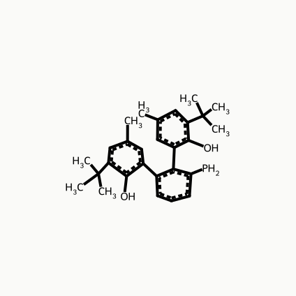 Cc1cc(-c2cccc(P)c2-c2cc(C)cc(C(C)(C)C)c2O)c(O)c(C(C)(C)C)c1